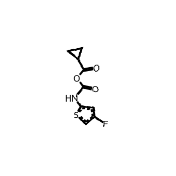 O=C(Nc1cc(F)cs1)OC(=O)C1CC1